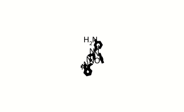 CC#CCn1c(N2CCCC(N)C2)nc2cnn(Cc3nn(C)c4ccccc34)c(=O)c21